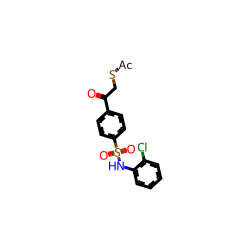 CC(=O)SCC(=O)c1ccc(S(=O)(=O)Nc2ccccc2Cl)cc1